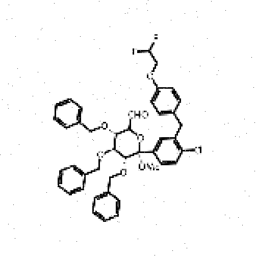 CO[C@@]1(c2ccc(Cl)c(Cc3ccc(OCC(F)F)cc3)c2)OC(C=O)[C@@H](OCc2ccccc2)[C@H](OCc2ccccc2)[C@H]1OCc1ccccc1